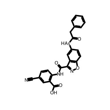 N#Cc1ccc(NC(=O)c2noc3ccc([AsH]C(=O)Cc4ccccc4)cc23)c(C(=O)O)c1